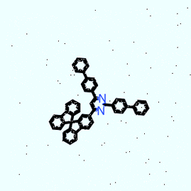 c1ccc(-c2ccc(-c3cc(-c4ccc5c(c4)C4(c6ccccc6-c6ccccc64)c4ccccc4-5)nc(-c4ccc(-c5ccccc5)cc4)n3)cc2)cc1